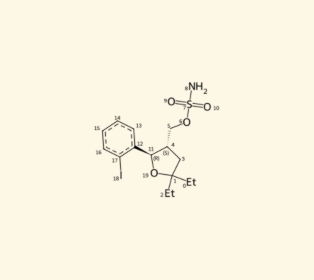 CCC1(CC)C[C@@H](COS(N)(=O)=O)[C@H](c2ccccc2I)O1